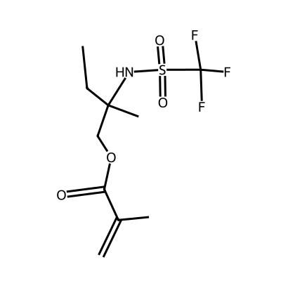 C=C(C)C(=O)OCC(C)(CC)NS(=O)(=O)C(F)(F)F